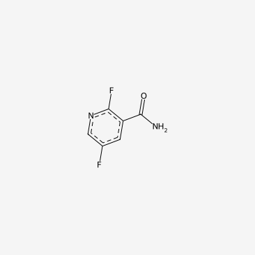 NC(=O)c1cc(F)cnc1F